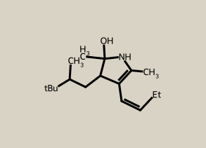 CC/C=C\C1=C(C)NC(C)(O)C1CC(C)C(C)(C)C